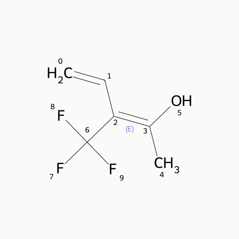 C=C/C(=C(/C)O)C(F)(F)F